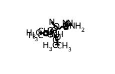 CC(C)COC(=O)CNP(=O)(OCC(CCc1ccc2c(N)ncnn12)OCC#N)Oc1ccc(C(C)(C)C)cc1